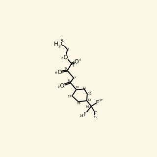 CCOC(=O)C(=O)CC(=O)C1CCC(C(F)(F)F)CC1